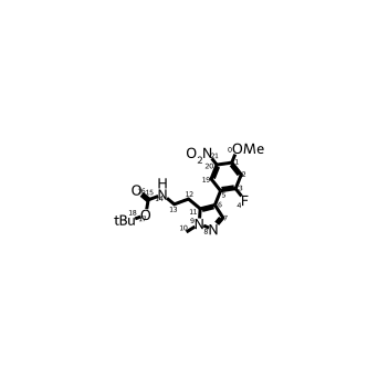 COc1cc(F)c(-c2cnn(C)c2CCNC(=O)OC(C)(C)C)cc1[N+](=O)[O-]